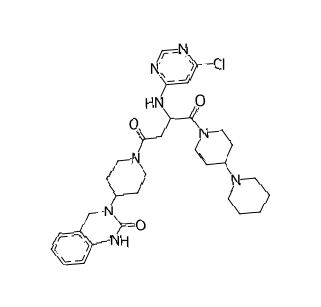 O=C(CC(Nc1cc(Cl)ncn1)C(=O)N1CCC(N2CCCCC2)CC1)N1CCC(N2Cc3ccccc3NC2=O)CC1